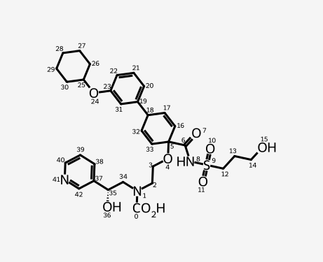 O=C(O)N(CCOC1(C(=O)NS(=O)(=O)CCCO)C=CC(c2cccc(OC3CCCCC3)c2)C=C1)C[C@H](O)c1cccnc1